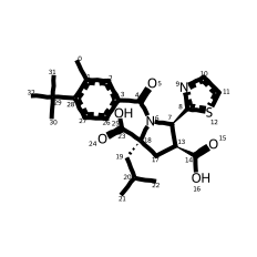 Cc1cc(C(=O)N2[C@@H](c3nccs3)[C@@H](C(=O)O)C[C@@]2(CC(C)C)C(=O)O)ccc1C(C)(C)C